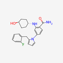 NC(=O)c1ccc(-n2cccc2Cc2ccccc2F)cc1N[C@H]1CC[C@H](O)CC1